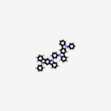 c1ccc(-n2c3ccccc3c3cc4c(cc32)c2ccccc2n4-c2cccc(-n3c4ccccc4c4cc5c(cc43)c3ccccc3n5-c3ccccc3)c2)cc1